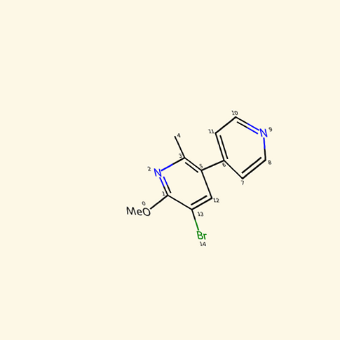 COc1nc(C)c(-c2ccncc2)cc1Br